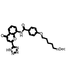 CCCCCCCCCCCCCCCOc1ccc(C(=O)Nc2cccc3c(=O)cc(-c4nnn[nH]4)oc23)cc1